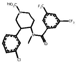 CN(C(=O)c1cc(C(F)(F)F)cc(C(F)(F)F)c1)C1CCN(C(=O)O)CC1c1cccc(Cl)c1